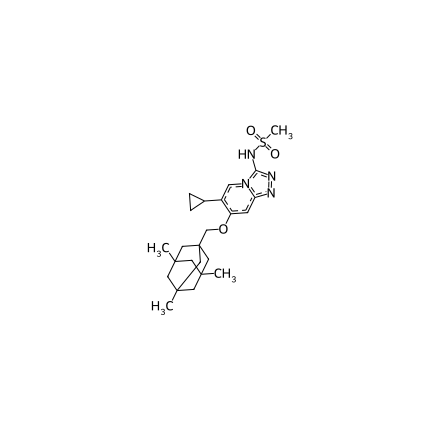 CC12CC3(C)CC(C)(C1)CC(COc1cc4nnc(NS(C)(=O)=O)n4cc1C1CC1)(C2)C3